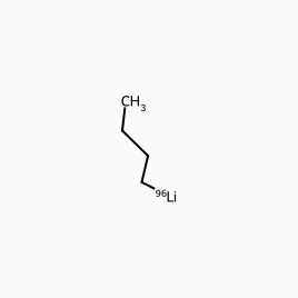 [96Li][CH2]CCC